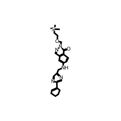 C[Si](C)(C)CCOCn1ncc2cc(NCc3cnc(C4=CCCCC4)cn3)ccc2c1=O